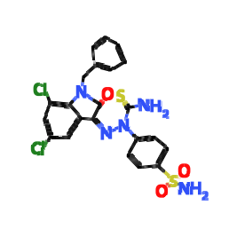 NC(=S)N(/N=C1\C(=O)N(Cc2ccccc2)c2c(Cl)cc(Cl)cc21)c1ccc(S(N)(=O)=O)cc1